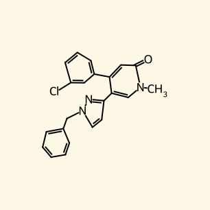 Cn1cc(-c2ccn(Cc3ccccc3)n2)c(-c2cccc(Cl)c2)cc1=O